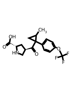 CC1CC1(C(=O)[C@H]1CN[C@H](C(=O)O)C1)c1ccc(OC(F)(F)F)cc1